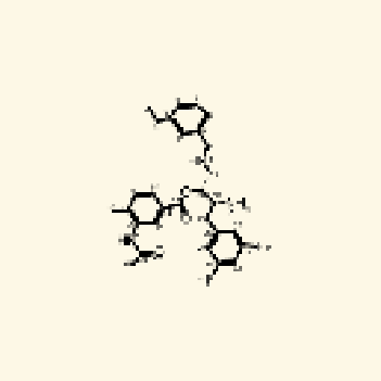 CCc1cccc(CNC[C@@H](OC(=O)c2ccc(C)c(NC(C)=O)c2)[C@@H](N)Cc2cc(F)cc(F)c2)c1